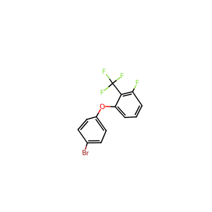 Fc1cccc(Oc2ccc(Br)cc2)c1C(F)(F)F